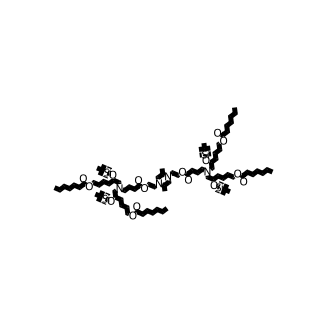 CCCCCCC(=O)OCCCCC(CN(CCCC(=O)OCCN1CC(C)N(CCOC(=O)CCCN(CC(CCCCOC(=O)CCCCCC)O[Si](C)(C)C(C)(C)C)CC(CCCCOC(=O)CCCCCC)O[Si](C)(C)C(C)(C)C)CC1C)CC(CCCCOC(=O)CCCCCC)O[Si](C)(C)C(C)(C)C)O[Si](C)(C)C(C)(C)C